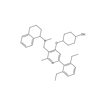 CCc1cccc(CC)c1-c1cc(OC2CCC(O)CC2)c(CN(C)C2CCCc3ccccc32)c(C)n1